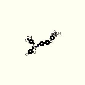 CS(=O)(=O)Nc1ccc(Oc2ccc(-c3ccc(/C=C/c4nc(-c5ccc(Cl)cc5Cl)cn4Cc4ccc(C(=O)O)cc4)cc3)cc2)cc1